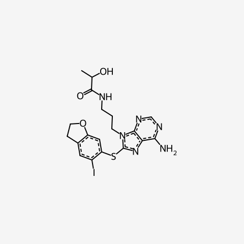 CC(O)C(=O)NCCCn1c(Sc2cc3c(cc2I)CCO3)nc2c(N)ncnc21